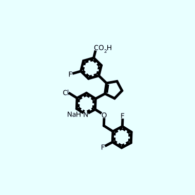 O=C(O)c1cc(F)cc(C2=C(c3cc(Cl)cnc3OCc3c(F)cccc3F)CCC2)c1.[NaH]